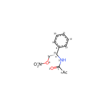 CC(=O)C(=O)N[C@H](CO[N+](=O)[O-])c1ccccc1